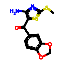 CSc1nc(N)c(C(=O)c2ccc3c(c2)OCO3)s1